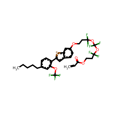 C=CC(=O)OCCC(F)(F)OC(F)(F)OC(F)(F)CCOc1ccc2cc(-c3ccc(CCCCC)cc3OC(F)(F)F)sc2c1